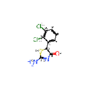 NC1=NC(=O)C(c2cccc(Cl)c2Cl)S1